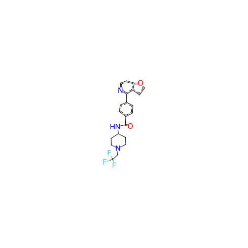 O=C(NC1CCN(CC(F)(F)F)CC1)c1ccc(-c2nccc3occc23)cc1